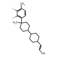 CCC/C=C/C1CCC(C2CCC(C)(c3ccc(C)c(F)c3F)CC2)CC1